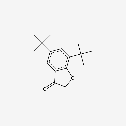 CC(C)(C)c1cc2c(c(C(C)(C)C)c1)OCC2=O